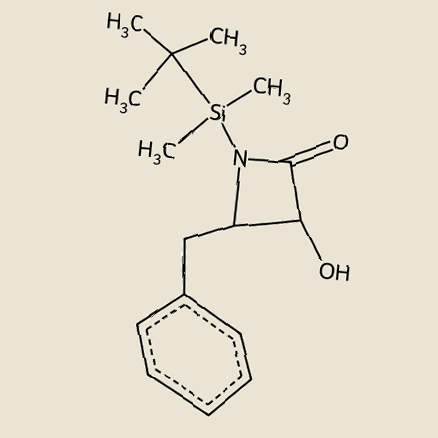 CC(C)(C)[Si](C)(C)N1C(=O)C(O)C1Cc1ccccc1